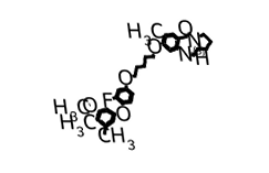 COc1cc(Oc2ccc(OCCCCCOc3cc4c(cc3C)C(=O)N3CCC[C@H]3C=N4)cc2F)cc(C)c1C